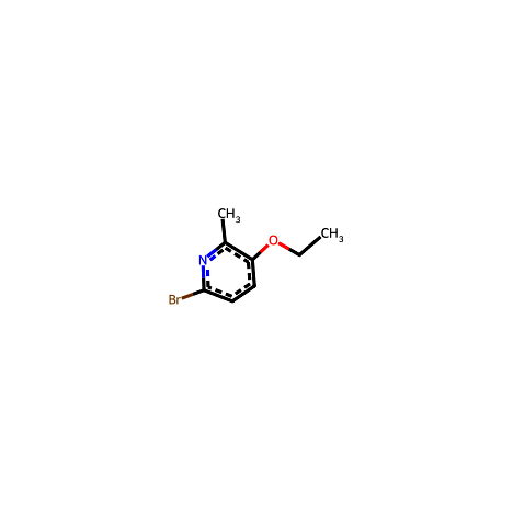 CCOc1ccc(Br)nc1C